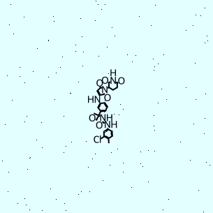 Cc1ccc(NC(=O)NC2(c3cccc(NC4=CC(=O)N(C5CCC(=O)NC5=O)C4=O)c3)COC2)cc1Cl